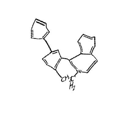 [CH2-][n+]1ccc2ccccc2c1-c1cc(-c2ccccc2)ccc1C